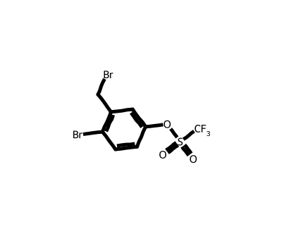 O=S(=O)(Oc1ccc(Br)c(CBr)c1)C(F)(F)F